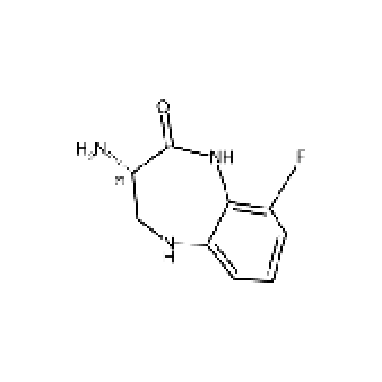 N[C@H]1CNc2cccc(F)c2NC1=O